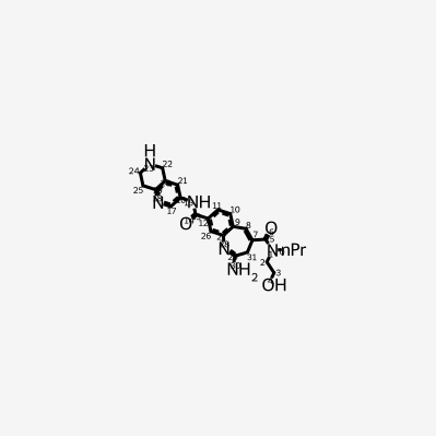 CCCN(CCO)C(=O)C1=Cc2ccc(C(=O)Nc3cnc4c(c3)CNCC4)cc2N=C(N)C1